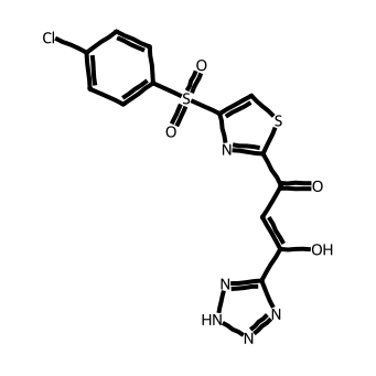 O=C(C=C(O)c1nn[nH]n1)c1nc(S(=O)(=O)c2ccc(Cl)cc2)cs1